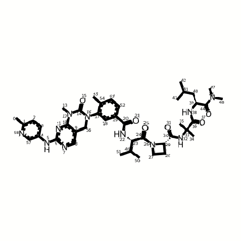 Cc1ccc(Nc2ncc3c(n2)N(C)C(=O)N(c2cc(C(=O)N[C@H](C(=O)N4CC[C@H]4C(=O)NC(C)(C)C(=O)N[C@@H](CC(C)C)C(=O)N(C)C)C(C)C)ccc2C)C3)cn1